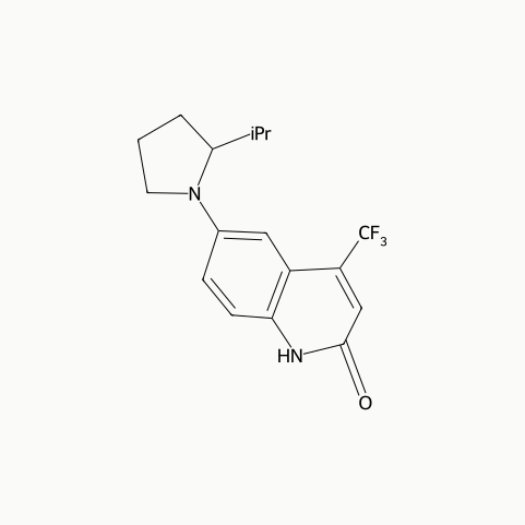 CC(C)C1CCCN1c1ccc2[nH]c(=O)cc(C(F)(F)F)c2c1